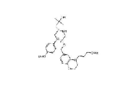 COCCCN1CCOc2ccc(CO[C@H]3CN[C@@H](CC(C)(C)O)C[C@@H]3c3ccc(OC)cc3)cc21